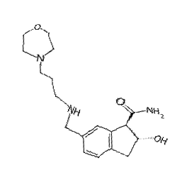 NC(=O)[C@@H]1c2cc(CNCCCN3CCOCC3)ccc2C[C@H]1O